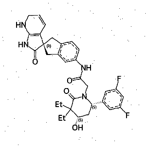 CCC1(CC)C(=O)N(CC(=O)Nc2ccc3c(c2)C[C@@]2(C3)C(=O)NC3=C2C=CCN3)[C@H](c2cc(F)cc(F)c2)C[C@@H]1O